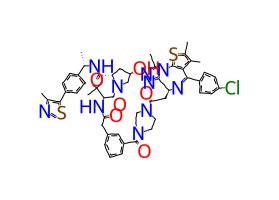 Cc1ncsc1-c1ccc([C@H](C)NC(=O)[C@@H]2C[C@@H](O)CN2C(=O)C(NC(=O)Cc2cccc(C(=O)N3CCN(C(=O)C[C@@H]4N=C(c5ccc(Cl)cc5)c5c(sc(C)c5C)-n5c(C)nnc54)CC3)c2)C(C)(C)C)cc1